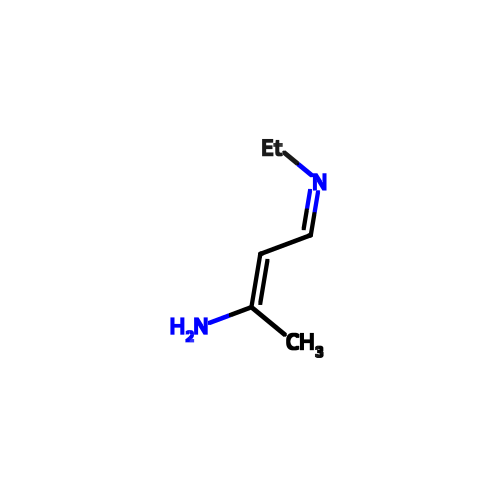 CC/N=C\C=C(/C)N